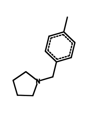 Cc1ccc(CN2CCCC2)cc1